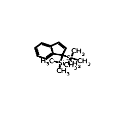 C[Si](C)(C)C1([Si](C)(C)C)C=Cc2ccccc21